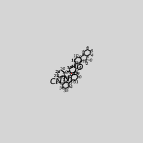 CC1(C)c2ccccc2-c2ccc3c(oc4ccc(C5=CCCC(C#N)=C5n5c6ccccc6c6ccccc65)cc43)c21